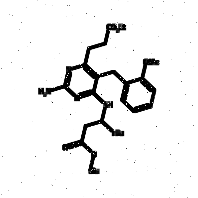 CCCCC(CC(=O)OC(C)(C)C)Nc1nc(N)nc(CCC(=O)OCC)c1Cc1ccccc1OC